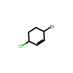 CCC1C=CC(Cl)CC1